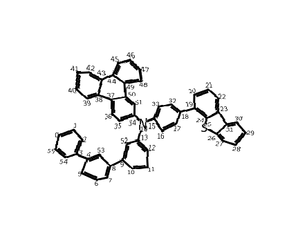 c1ccc(-c2cccc(-c3cccc(N(c4ccc(-c5cccc6c5sc5ccccc56)cc4)c4ccc5c6ccccc6c6ccccc6c5c4)c3)c2)cc1